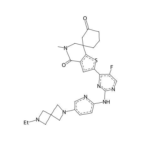 CCN1CC2(C1)CN(c1ccc(Nc3ncc(F)c(-c4cc5c(s4)C4(CCCC(=O)C4)CN(C)C5=O)n3)nc1)C2